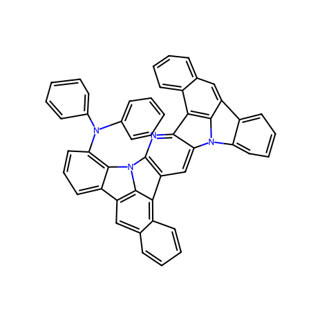 c1ccc(N(c2ccccc2)c2cccc3c4cc5ccccc5c5c6cc7c(nc6n(c23)c45)c2c3ccccc3cc3c4ccccc4n7c32)cc1